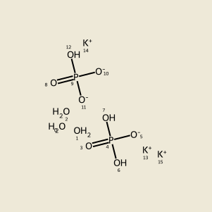 O.O.O.O=P([O-])(O)O.O=P([O-])([O-])O.[K+].[K+].[K+]